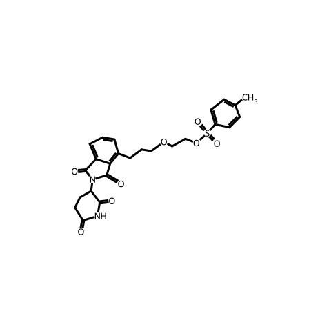 Cc1ccc(S(=O)(=O)OCCOCCCc2cccc3c2C(=O)N(C2CCC(=O)NC2=O)C3=O)cc1